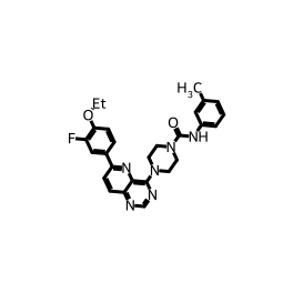 CCOc1ccc(-c2ccc3ncnc(N4CCN(C(=O)Nc5cccc(C)c5)CC4)c3n2)cc1F